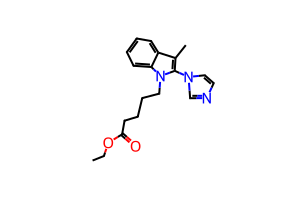 CCOC(=O)CCCCn1c(-n2ccnc2)c(C)c2ccccc21